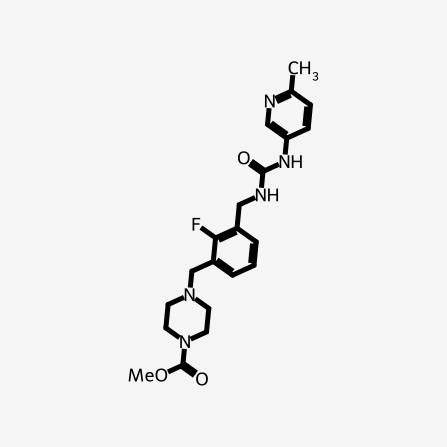 COC(=O)N1CCN(Cc2cccc(CNC(=O)Nc3ccc(C)nc3)c2F)CC1